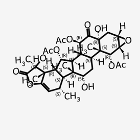 CC(=O)O[C@@H]1[C@H]2[C@@H]3[C@@H](OC(C)=O)C(=O)[C@@]4(O)C[C@@H]5O[C@@H]5[C@H](OC(C)=O)[C@]4(C)[C@H]3C[C@H](O)[C@]2(C)[C@@H]2[C@@H]1[C@]1(C)C(=C[C@H]2C)OC(=O)[C@@]1(C)O